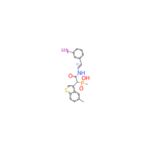 Cc1ccc2scc(C(C(=O)N/C=C/c3cccc([123I])c3)P(C)(=O)O)c2c1